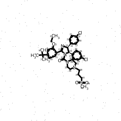 CCOc1cc(C(C)(C)C)ccc1C1=N[C@@H](c2ccc(Cl)cc2)[C@@H](c2ccc(Cl)cc2)N1C(=O)N1CCN(CCCS(C)(=O)=O)CC1